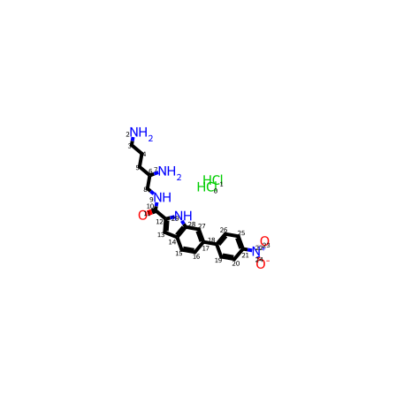 Cl.Cl.NCCCC(N)CNC(=O)c1cc2ccc(-c3ccc([N+](=O)[O-])cc3)cc2[nH]1